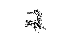 CSc1nccc(C2(O)CC3CC(c4nn(C)c(N)c4C(=O)Nc4ccc(F)c(Cl)c4)CC3C2)n1